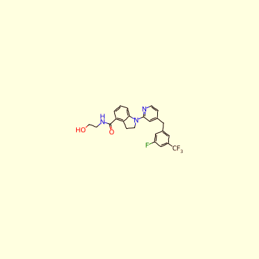 O=C(NCCO)c1cccc2c1CCN2c1cc(Cc2cc(F)cc(C(F)(F)F)c2)ccn1